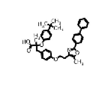 Cc1oc(-c2ccc(-c3ccccc3)cc2)nc1CCOc1ccc(CC(C)(Oc2ccc(C(C)(C)C)cc2)C(=O)O)cc1